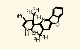 [2H]C([2H])([2H])c1cc2oc3ccccc3c2nc1-c1c(C([2H])([2H])[2H])c(C(C)C)c[nH]c1=O